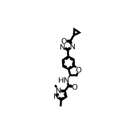 Cc1cc(C(=O)N[C@@H]2COc3cc(-c4noc(C5CC5)n4)ccc32)n(C)n1